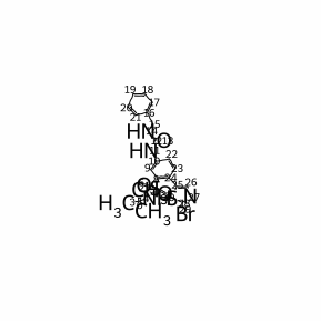 CC(C)(C)NS(=O)(=O)c1cc(NC(=O)NCc2ccccc2)ccc1-c1cnc(Br)s1